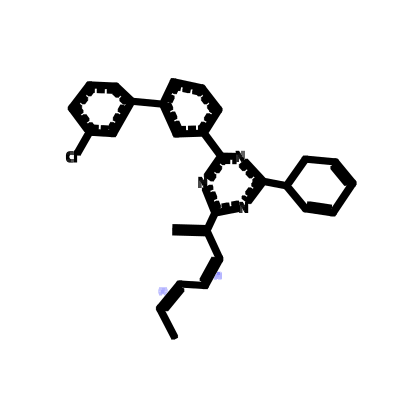 C=C(/C=C\C=C/C)c1nc(-c2cccc(-c3cccc(Cl)c3)c2)nc(C2C=CC=CC2)n1